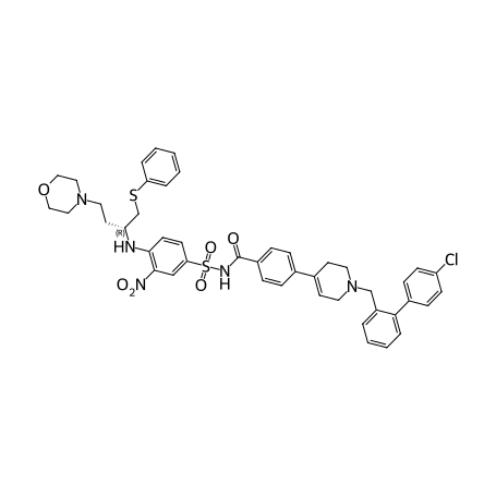 O=C(NS(=O)(=O)c1ccc(N[C@H](CCN2CCOCC2)CSc2ccccc2)c([N+](=O)[O-])c1)c1ccc(C2=CCN(Cc3ccccc3-c3ccc(Cl)cc3)CC2)cc1